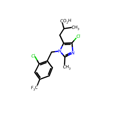 Cc1nc(Cl)c(CC(C)C(=O)O)n1Cc1ccc(C(F)(F)F)cc1Cl